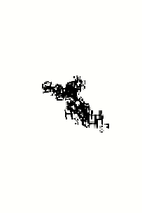 CC(C)(C)NS(=O)(=O)c1ccc(-c2cc(C(=O)N[C@H]3C[C@H](C=O)C3)c(F)n2CC2CCCCC2)c2ccccc12